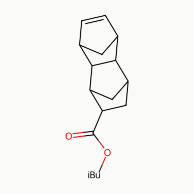 CCC(C)OC(=O)C1CC2CC1C1C3C=CC(C3)C21